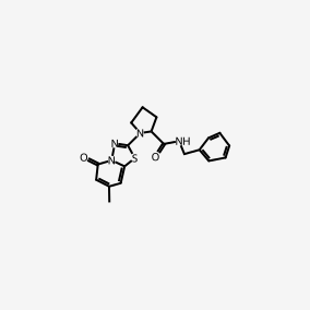 Cc1cc(=O)n2nc(N3CCCC3C(=O)NCc3ccccc3)sc2c1